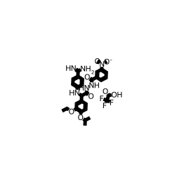 CCOc1cc(C(Nc2ccc(C(=N)N)cc2)C(=O)NNC(=O)c2cccc([N+](=O)[O-])c2)ccc1OC(C)C.O=C(O)C(F)(F)F